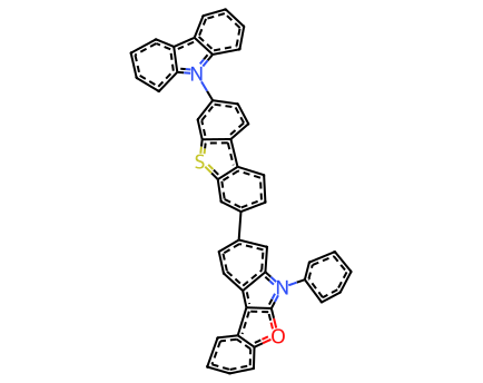 c1ccc(-n2c3cc(-c4ccc5c(c4)sc4cc(-n6c7ccccc7c7ccccc76)ccc45)ccc3c3c4ccccc4oc32)cc1